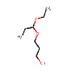 CCOC(CC)OCCCO